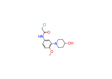 COc1ccc(NC(=O)CCl)cc1N1CCC(O)CC1